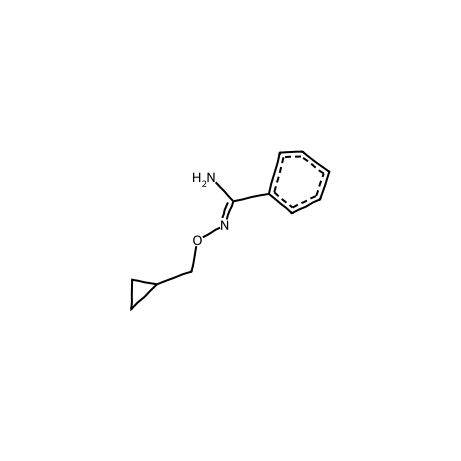 NC(=NOCC1CC1)c1ccccc1